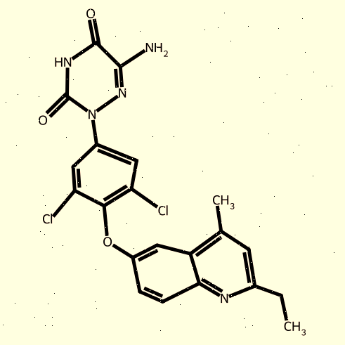 CCc1cc(C)c2cc(Oc3c(Cl)cc(-n4nc(N)c(=O)[nH]c4=O)cc3Cl)ccc2n1